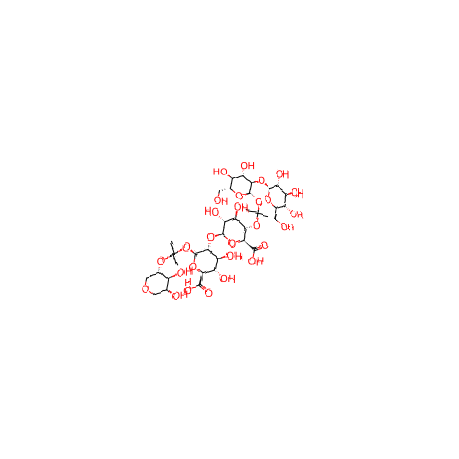 CC(C)(O[C@@H]1O[C@H](CO)[C@@H](O)[C@H](O)[C@H]1O[C@@H]1O[C@H](CO)[C@@H](O)[C@H](O)[C@H]1O)O[C@H]1[C@H](O)[C@@H](O)[C@H](O[C@H]2[C@H](OC(C)(C)O[C@H]3COC[C@H](O)[C@@H]3O)O[C@H](C(=O)O)[C@@H](O)[C@@H]2O)O[C@@H]1C(=O)O